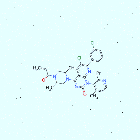 C=CC(=O)N1CC(C)N(c2nc(=O)n(-c3c(C)ccnc3C(C)C)c3nc(-c4cccc(Cl)c4)c(Cl)cc23)CC1C